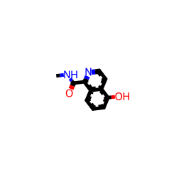 CNC(=O)c1nccc2c(O)cccc12